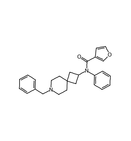 O=C(c1ccoc1)N(c1ccccc1)C1CC2(CCN(Cc3ccccc3)CC2)C1